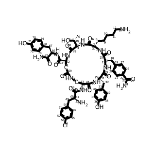 C[C@@H](O)[C@@H]1NC(=O)[C@H](CCCCCN)NC(=O)[C@@H](Cc2ccc(C(N)=O)cc2)NC(=O)[C@H](Cc2ccc(O)cc2)NC(=O)[C@H](NC(=O)[C@@H](N)Cc2ccc(Cl)cc2)CNC(=O)C[C@@H](C(=O)N[C@H](Cc2ccc(O)cc2)C(N)=O)NC1=O